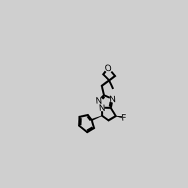 CC1(Cc2nc3n(n2)[C@H](c2ccccc2)C[C@@H]3F)COC1